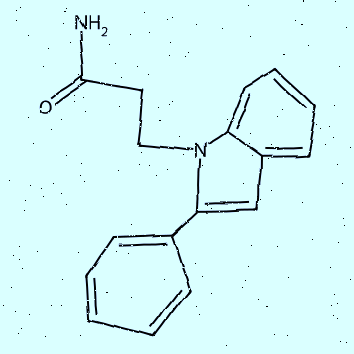 NC(=O)CCn1c(-c2ccccc2)cc2ccccc21